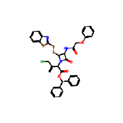 C=C(CCl)C(C(=O)OC(c1ccccc1)c1ccccc1)N1C(=O)C(NC(=O)COc2ccccc2)C1SSc1nc2ccccc2s1